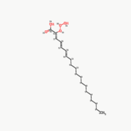 CCCCCCCCCCCCCC=CC=CC=C(OOO)C(=O)O